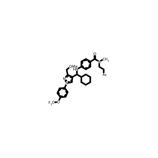 COCc1nn(-c2ccc(OC(F)(F)F)cc2)cc1C(Nc1ccc(C(=O)N(C)CCC(C)=O)cc1)C1CCCCC1